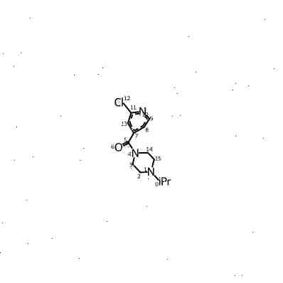 CC(C)N1CCN(C(=O)c2ccnc(Cl)c2)CC1